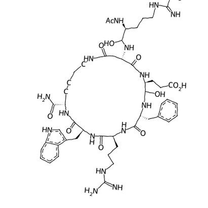 CC(=O)N[C@@H](CCCNC(=N)N)C(O)N[C@H]1CC(=O)NCCCC[C@@H](C(N)=O)NC(=O)[C@H](Cc2c[nH]c3ccccc23)NC(=O)[C@H](CCCNC(=N)N)NC(=O)[C@@H](Cc2ccccc2)NC(O)[C@H](CCC(=O)O)NC1=O